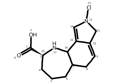 O=C(O)[C@@H]1CCCC2CC=C3CN(Cl)C=C3C2N1